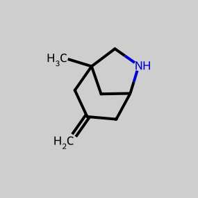 C=C1CC2CC(C)(CN2)C1